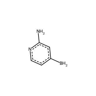 Bc1ccnc(N)c1